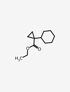 CCOC(=O)C1(C2CCCCC2)CC1